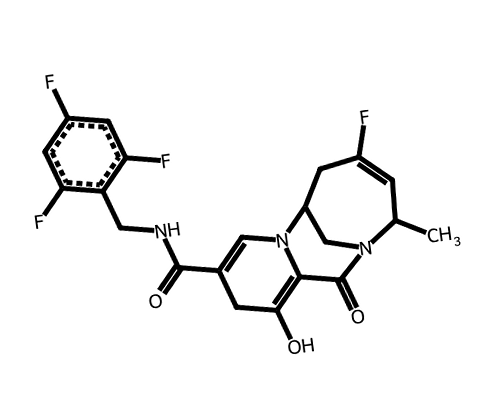 CC1C=C(F)CC2CN1C(=O)C1=C(O)CC(C(=O)NCc3c(F)cc(F)cc3F)=CN12